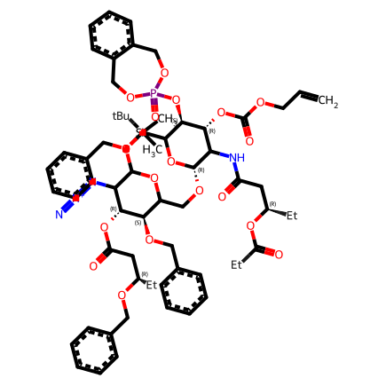 C=CCOC(=O)O[C@@H]1C(NC(=O)C[C@@H](CC)OC(=O)CC)[C@H](OCC2OC(O[Si](C)(C)C(C)(C)C)C(N=[N+]=[N-])[C@@H](OC(=O)C[C@@H](CC)OCc3ccccc3)[C@@H]2OCc2ccccc2)OC(COCc2ccccc2)[C@H]1OP1(=O)OCc2ccccc2CO1